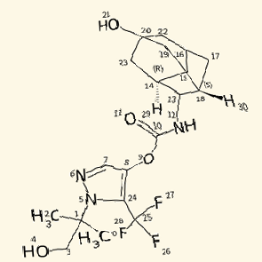 CC(C)(CO)n1ncc(OC(=O)NC2[C@@H]3CC4C[C@H]2CC(O)(C4)C3)c1C(F)(F)F